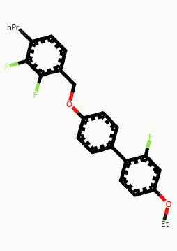 CCCc1ccc(COc2ccc(-c3ccc(OCC)cc3F)cc2)c(F)c1F